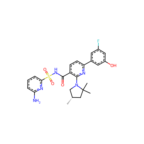 C[C@@H]1CN(c2nc(-c3cc(O)cc(F)c3)ccc2C(=O)NS(=O)(=O)c2cccc(N)n2)C(C)(C)C1